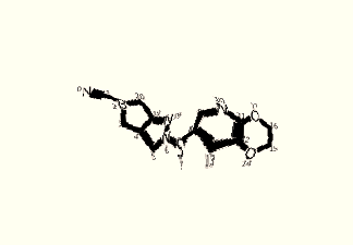 N#CB1Cc2cn(Sc3cnc4c(c3)OCCO4)nc2C1